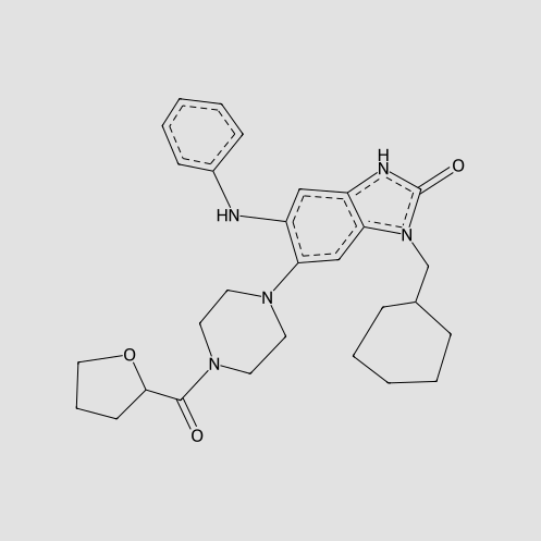 O=C(C1CCCO1)N1CCN(c2cc3c(cc2Nc2ccccc2)[nH]c(=O)n3CC2CCCCC2)CC1